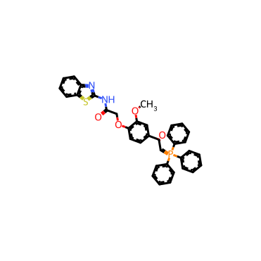 COc1cc(C(=O)C=P(c2ccccc2)(c2ccccc2)c2ccccc2)ccc1OCC(=O)Nc1nc2ccccc2s1